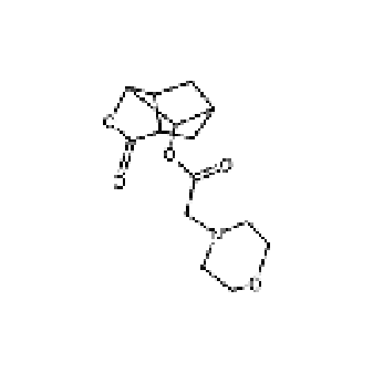 O=C(CN1CCOCC1)OC1C2CC3C(=O)OC1C3C2